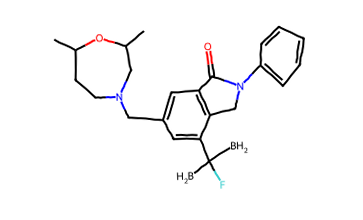 BC(B)(F)c1cc(CN2CCC(C)OC(C)C2)cc2c1CN(c1ccccc1)C2=O